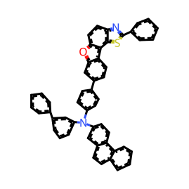 c1ccc(-c2cccc(N(c3ccc(-c4ccc5c(c4)oc4ccc6nc(-c7ccccc7)sc6c45)cc3)c3ccc4c(ccc5ccccc54)c3)c2)cc1